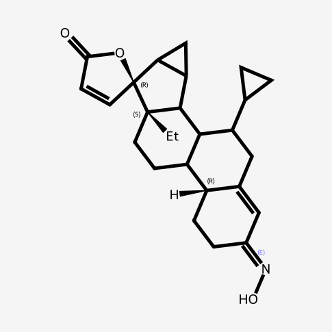 CC[C@]12CCC3C(C(C4CC4)CC4=C/C(=N/O)CC[C@@H]43)C1C1CC1[C@@]21C=CC(=O)O1